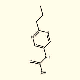 CCCc1ncc(NC(=O)O)cn1